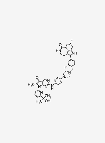 Cn1c(=O)c2cnc(Nc3ccc(N4CCN(Cc5ccc(-c6[nH]c7cc(F)cc8c7c6CCNC8=O)cc5F)CC4)cc3)nc2n1-c1cccc(C(C)(C)O)n1